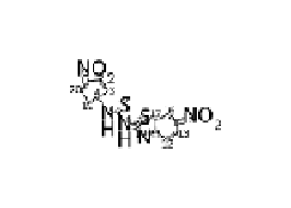 O=[N+]([O-])c1ccc(NC(=S)Nc2nc3ccc([N+](=O)[O-])cc3s2)cc1